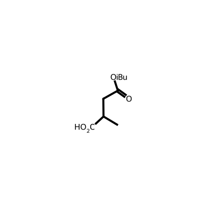 CC(C)COC(=O)CC(C)C(=O)O